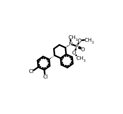 COP(=O)(OC)N(C)[C@H]1CC[C@@H](c2ccc(Cl)c(Cl)c2)c2ccccc21